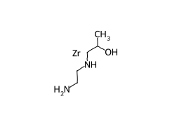 CC(O)CNCCN.[Zr]